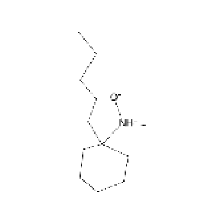 CCCCCC1([NH+](C)[O-])CCCCC1